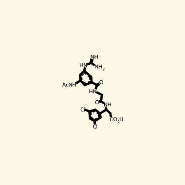 CC(=O)Nc1cc(NC(=N)N)cc(C(=O)NCC(=O)NC(CC(=O)O)c2cc(Cl)cc(Cl)c2)c1